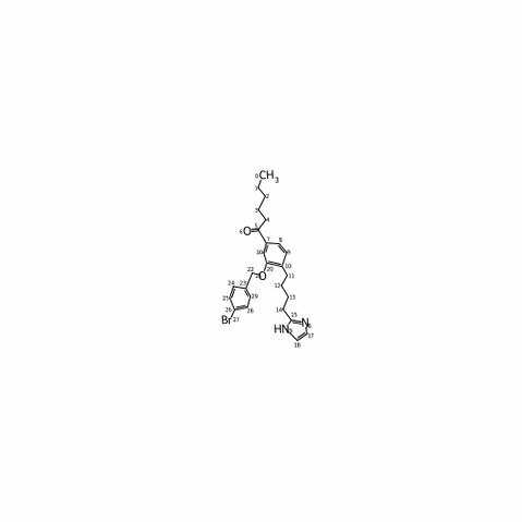 CCCCCC(=O)c1ccc(CCCCc2ncc[nH]2)c(OCc2ccc(Br)cc2)c1